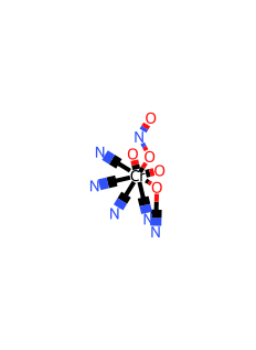 N#C[O][Cr](=[O])(=[O])([C]#N)([C]#N)([C]#N)([C]#N)[O]N=O